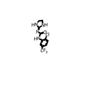 O=C(N=C1NCCN1)Nc1cc(C(F)(F)F)ccc1Cl